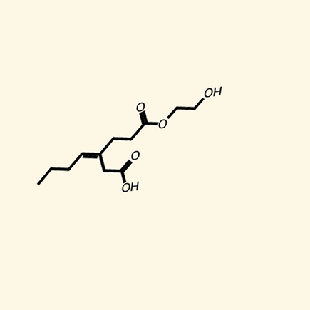 CCCC=C(CCC(=O)OCCO)CC(=O)O